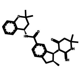 C[C@H]1Cc2ccc(C(=O)N[C@H]3CC(C)(C)Oc4ccccc43)cc2[C@H]1N1C(=N)NC(C)(C)CC1=O